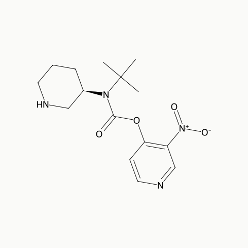 CC(C)(C)N(C(=O)Oc1ccncc1[N+](=O)[O-])[C@@H]1CCCNC1